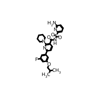 CC(C)COc1cc(F)cc(-c2ccc(C(=O)NS(=O)(=O)c3cccc(N)n3)c(N3CCCCC3)n2)c1